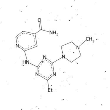 CCc1nc(Nc2cc(C(N)=O)ccn2)nc(N2CCN(C)CC2)n1